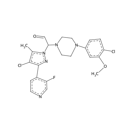 COc1cc(N2CCN(C(C=O)n3nc(-c4ccncc4F)c(Cl)c3C)CC2)ccc1Cl